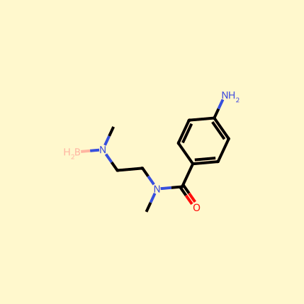 BN(C)CCN(C)C(=O)c1ccc(N)cc1